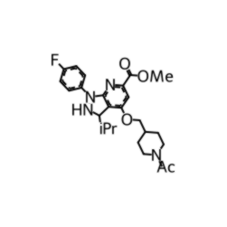 COC(=O)c1cc(OCC2CCN(C(C)=O)CC2)c2c(n1)N(c1ccc(F)cc1)NC2C(C)C